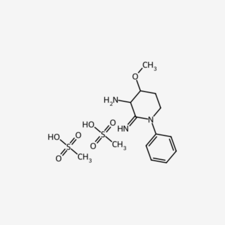 COC1CCN(c2ccccc2)C(=N)C1N.CS(=O)(=O)O.CS(=O)(=O)O